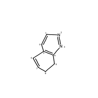 [c]1cnnc2c1C=CCC2